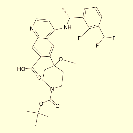 COC1(c2cc3c(N[C@H](C)c4cccc(C(F)F)c4F)ccnc3cc2C(=O)O)CCN(C(=O)OC(C)(C)C)CC1